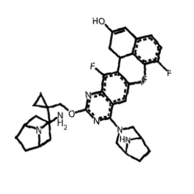 NC1CC2CCC(C1)N2CC1(COc2nc(N3CC4CCC(C3)N4)c3cc(F)c(C4CC(O)=Cc5ccc(F)c(F)c54)c(F)c3n2)CC1